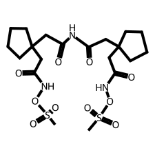 CS(=O)(=O)ONC(=O)CC1(CC(=O)NC(=O)CC2(CC(=O)NOS(C)(=O)=O)CCCC2)CCCC1